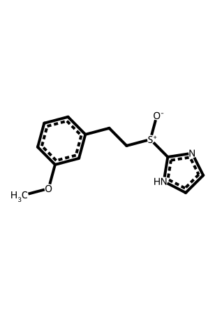 COc1cccc(CC[S+]([O-])c2ncc[nH]2)c1